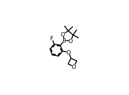 CC1(C)OB(c2c(F)cccc2OC2COC2)OC1(C)C